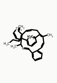 C=CC1=C(\C=C/C)C(C)/N=C/c2ccccc2/C=C\C(C)=C(/C(=C)\C=C/C=C(C)/C=C/CC)C/C=C\1